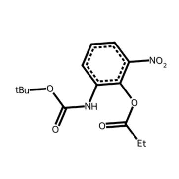 CCC(=O)Oc1c(NC(=O)OC(C)(C)C)cccc1[N+](=O)[O-]